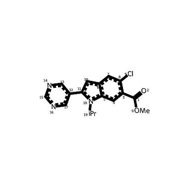 COC(=O)c1cc2c(cc1Cl)cc(-c1cncnc1)n2C(C)C